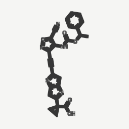 CC(OC(=O)Nc1c(C#Cc2cc3sc(C4(C(=O)O)CC4)cc3s2)noc1C#N)c1ccccc1